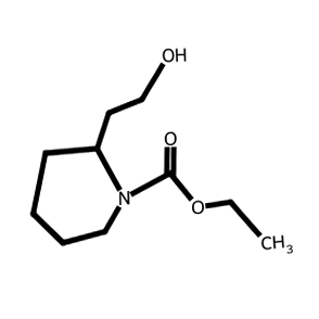 CCOC(=O)N1CCCCC1CCO